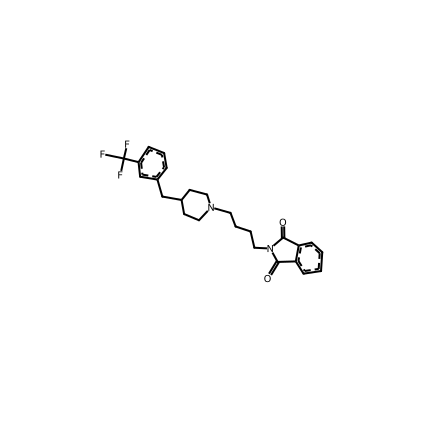 O=C1c2ccccc2C(=O)N1CCCCN1CCC(Cc2cccc(C(F)(F)F)c2)CC1